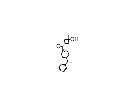 C[C@H](c1ccccc1)C1CCN(C(=O)[C@H]2C[C@@](C)(O)C2)CC1